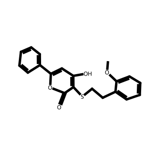 COc1ccccc1CCSc1c(O)cc(-c2ccccc2)oc1=O